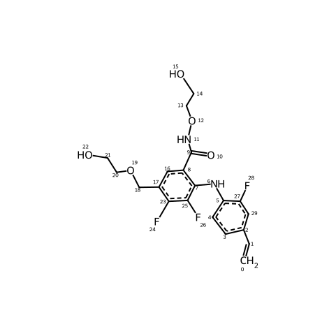 C=Cc1ccc(Nc2c(C(=O)NOCCO)cc(COCCO)c(F)c2F)c(F)c1